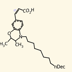 CCCCCCCCCCCCCCCCCCN1c2ccc(/C=C\C(=O)O)cc2OC(C)C1C